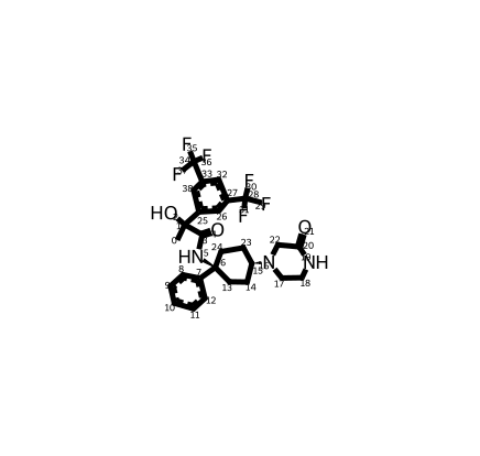 CC(O)(C(=O)N[C@]1(c2ccccc2)CC[C@@H](N2CCNC(=O)C2)CC1)c1cc(C(F)(F)F)cc(C(F)(F)F)c1